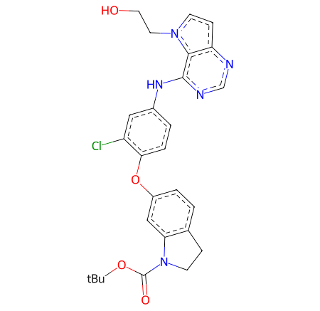 CC(C)(C)OC(=O)N1CCc2ccc(Oc3ccc(Nc4ncnc5ccn(CCO)c45)cc3Cl)cc21